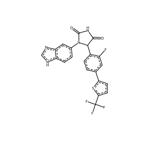 O=C1NC(=O)N(c2ccc3[nH]cnc3c2)C1c1ccc(-c2ccc(C(F)(F)F)s2)cc1F